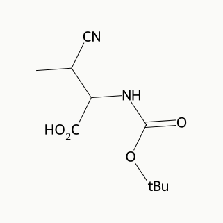 CC(C#N)C(NC(=O)OC(C)(C)C)C(=O)O